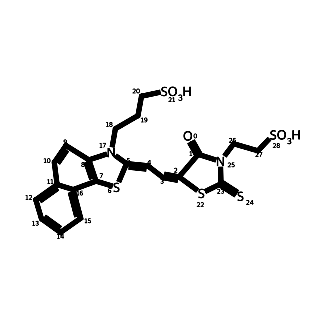 O=C1/C(=C\C=C2/Sc3c(ccc4ccccc34)N2CCCS(=O)(=O)O)SC(=S)N1CCS(=O)(=O)O